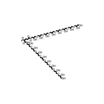 CNC(CCC(=O)NCC(O)COCC(O)COCC(O)COCC(O)COCC(O)COCC(O)COCC(O)COCC(O)CO)C(=O)NCC(O)COCC(O)COCC(O)COCC(O)COCC(O)COCC(O)COCC(O)COCC(O)CO